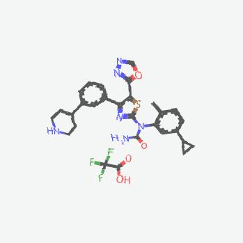 Cc1ccc(C2CC2)cc1N(C(N)=O)c1nc(-c2cccc(C3CCNCC3)c2)c(-c2nnco2)s1.O=C(O)C(F)(F)F